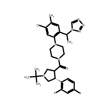 Cc1cc(C(C)n2cnnn2)c(N2CCN(C(=O)C3CN(C(C)(C)C)C[C@H]3c3ccc(F)cc3F)CC2)cc1Cl